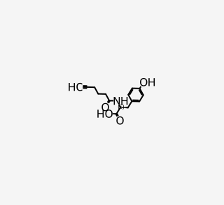 C#CCCCC(=O)N[C@@H](Cc1ccc(O)cc1)C(=O)O